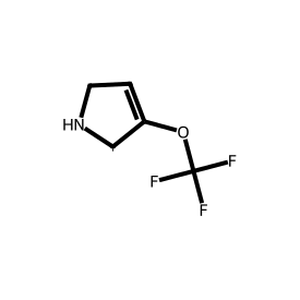 FC(F)(F)OC1=CCN[CH]1